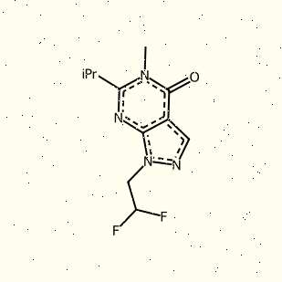 CC(C)c1nc2c(cnn2CC(F)F)c(=O)n1C